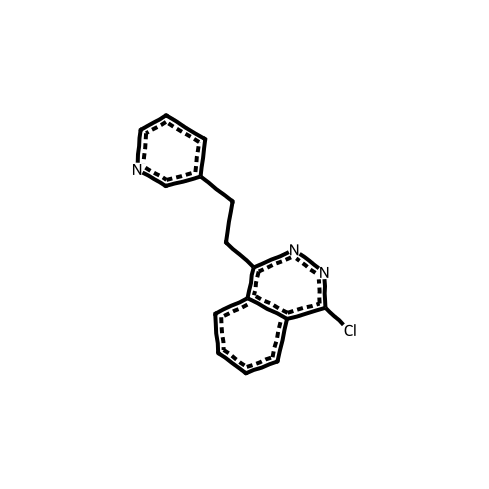 Clc1nnc(CCc2cccnc2)c2ccccc12